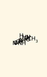 CC1(NC(=O)O[C@@H]2CC[C@H](c3cc(NC(=O)Cc4ccno4)n[nH]3)C2)CC1